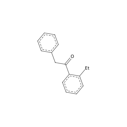 [CH2]Cc1ccccc1C(=O)Cc1ccccc1